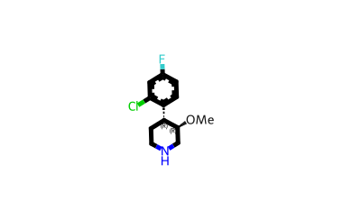 CO[C@H]1CNCC[C@@H]1c1ccc(F)cc1Cl